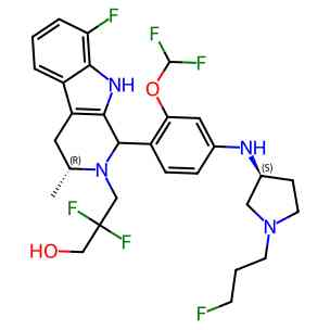 C[C@@H]1Cc2c([nH]c3c(F)cccc23)C(c2ccc(N[C@H]3CCN(CCCF)C3)cc2OC(F)F)N1CC(F)(F)CO